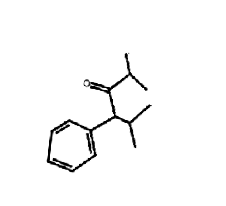 [CH2]C(C)C(=O)C(c1ccccc1)C(C)C